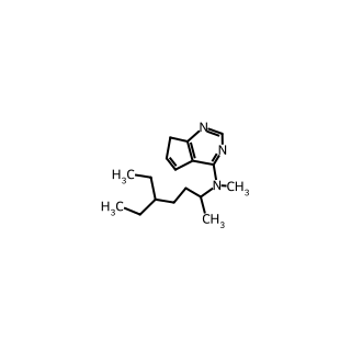 CCC(CC)CCC(C)N(C)c1ncnc2c1C=CC2